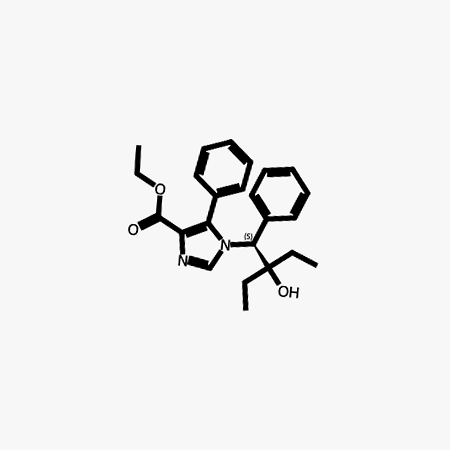 CCOC(=O)c1ncn([C@@H](c2ccccc2)C(O)(CC)CC)c1-c1ccccc1